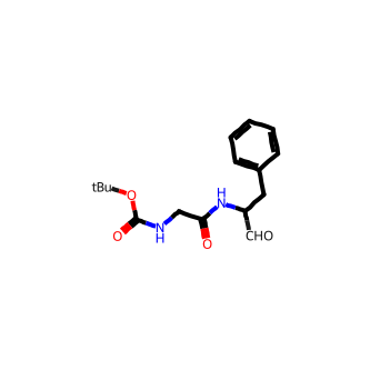 CC(C)(C)OC(=O)NCC(=O)NC(C=O)Cc1ccccc1